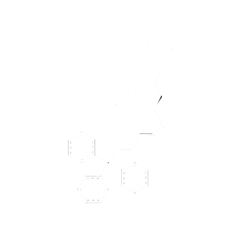 C[C@H](C=CCOC(c1ccccc1)(c1ccccc1)c1ccccc1)[C@H](CCO[Si](C)(C)C(C)(C)C)O[Si](C)(C)C(C)(C)C